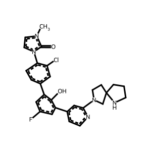 Cn1ccn(-c2ccc(-c3cc(F)cc(-c4ccnc(N5CCC6(CCCN6)C5)c4)c3O)cc2Cl)c1=O